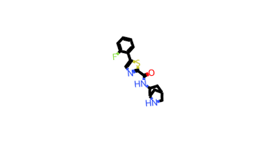 O=C(NC1CC2CNC1C2)c1ncc(-c2ccccc2F)s1